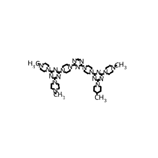 CC1CCN(c2nc(N3CCN(C)CC3)nc(N3CCN(c4ncnc(N5CCN(c6nc(N7CCN(C)CC7)nc(N7CCN(C)CC7)n6)CC5)n4)CC3)n2)CC1